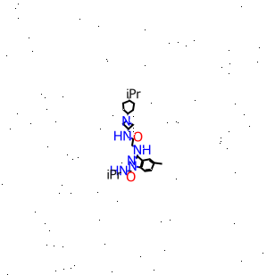 Cc1ccc2c(c1)c(NCC(=O)NC1CN([C@H]3CC[C@@H](C(C)C)CC3)C1)nn2C(=O)NC(C)C